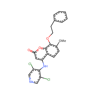 COc1ccc2c(Nc3c(Cl)cncc3Cl)cc(=O)oc2c1OCCc1ccccc1